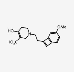 COc1ccc2c(c1)C(CCN1CCC(O)=C(C(=O)O)C1)=C2